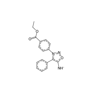 CCOC(=O)c1ccc(-[n+]2noc([NH-])c2-c2ccccc2)cc1